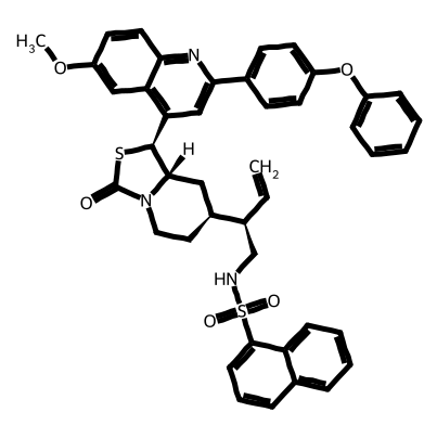 C=C[C@@H](CNS(=O)(=O)c1cccc2ccccc12)[C@H]1CCN2C(=O)S[C@@H](c3cc(-c4ccc(Oc5ccccc5)cc4)nc4ccc(OC)cc34)[C@@H]2C1